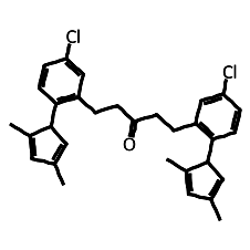 CC1=CC(c2ccc(Cl)cc2CCC(=O)CCc2cc(Cl)ccc2C2C=C(C)C=C2C)C(C)=C1